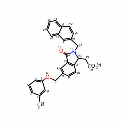 N#Cc1cccc(OCc2ccc3c(c2)C(=O)N(Cc2ccc4ccccc4c2)C3CC(=O)O)c1